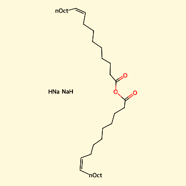 CCCCCCCC/C=C\CCCCCCCC(=O)OC(=O)CCCCCCC/C=C\CCCCCCCC.[NaH].[NaH]